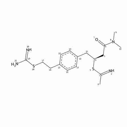 CC(=N)S[C@H](CC(=O)N(C)C)Cc1ccc(CCSC(=N)N)cc1